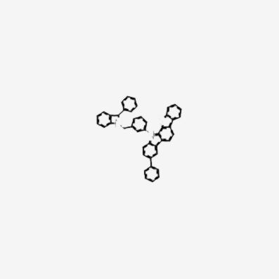 c1ccc(-c2ccc3c(c2)c2ccc4c5ccccc5sc4c2n3-c2cccc(CN3c4ccccc4C3c3ccccc3)c2)cc1